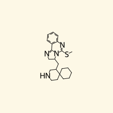 CSC1=Nc2ccccc2C2=NCC(CC3CNCCC34CCCCC4)N12